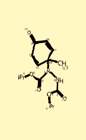 CC(C)OC(=O)NN(C(=O)OC(C)C)C1(C)C=CC(=O)C=C1